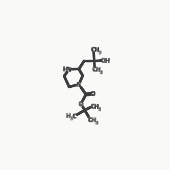 CC(C)(O)CC1CN(C(=O)OC(C)(C)C)CCN1